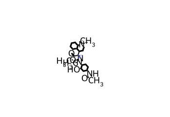 COC(=O)/C(=N\N(C)c1ccc(NC(C)=O)cc1O)c1cc[n+](C)c2ccccc12